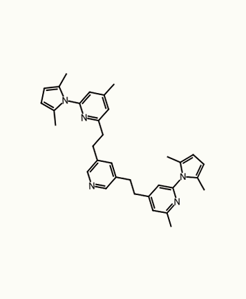 Cc1cc(CCc2cncc(CCc3cc(C)nc(-n4c(C)ccc4C)c3)c2)nc(-n2c(C)ccc2C)c1